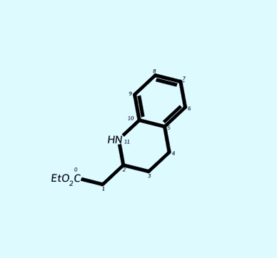 CCOC(=O)CC1CCc2c[c]ccc2N1